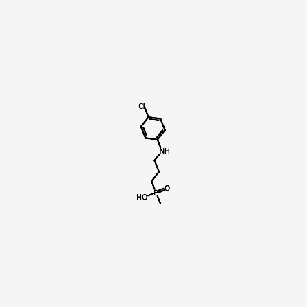 CP(=O)(O)CCCNc1ccc(Cl)cc1